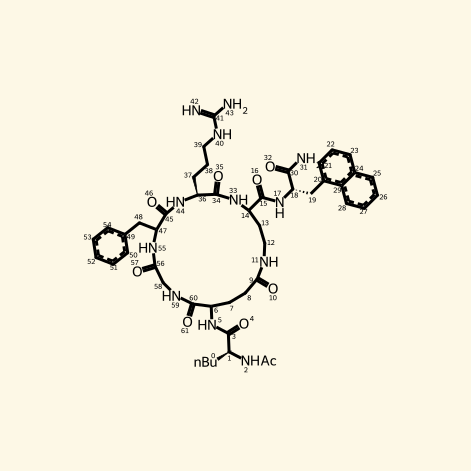 CCCC[C@H](NC(C)=O)C(=O)NC1CCC(=O)NCCC(C(=O)N[C@@H](Cc2cccc3ccccc23)C(N)=O)NC(=O)[C@H](CCCNC(=N)N)NC(=O)C(Cc2ccccc2)NC(=O)CNC1=O